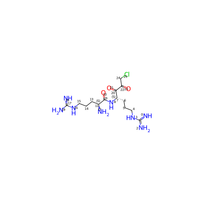 N=C(N)NCCC[C@H](NC(=O)[C@@H](N)CCCNC(=N)N)C(=O)C(=O)CCl